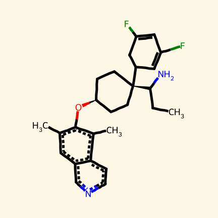 CCC(N)[C@]1(C2C=C(F)C=C(F)C2)CC[C@H](Oc2c(C)cc3cnccc3c2C)CC1